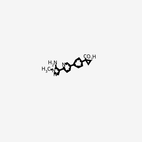 Cn1ncc(-c2ccc(-c3ccc(C4(C(=O)O)CC4)cc3)cn2)c1N